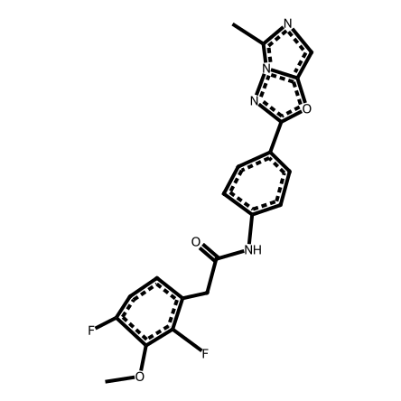 COc1c(F)ccc(CC(=O)Nc2ccc(-c3nn4c(C)ncc4o3)cc2)c1F